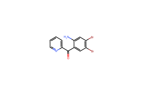 Nc1cc(Br)c(Br)cc1C(=O)c1ccccn1